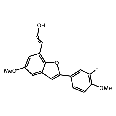 COc1cc(C=NO)c2oc(-c3ccc(OC)c(F)c3)cc2c1